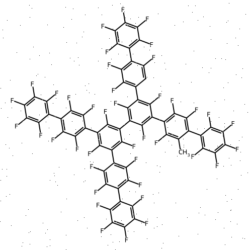 Cc1c(F)c(-c2c(F)c(-c3cc(F)c(-c4c(F)c(F)c(F)c(F)c4F)c(F)c3F)c(F)c(-c3c(F)c(-c4c(F)c(F)c(-c5c(F)c(F)c(F)c(F)c5F)c(F)c4F)c(F)c(-c4c(F)c(F)c(-c5c(F)c(F)c(F)c(F)c5F)c(F)c4F)c3F)c2F)c(F)c(F)c1-c1c(F)c(F)c(F)c(F)c1F